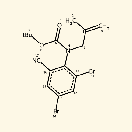 C=C(C)CN(C(=O)OC(C)(C)C)c1c(Br)cc(Br)cc1C#N